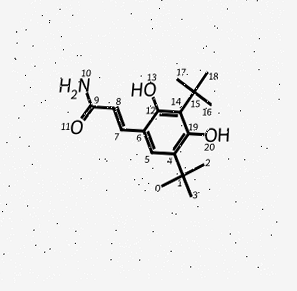 CC(C)(C)c1cc(C=CC(N)=O)c(O)c(C(C)(C)C)c1O